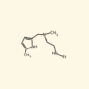 CCNCCN(C)Cc1ccc(C)[nH]1